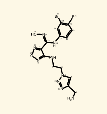 NCc1cn(CCNc2nonc2C(=NO)Nc2ccc(F)c(Br)c2)nn1